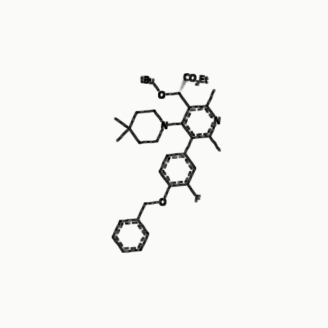 CCOC(=O)[C@@H](OC(C)(C)C)c1c(C)nc(C)c(-c2ccc(OCc3ccccc3)c(F)c2)c1N1CCC(C)(C)CC1